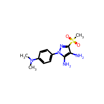 CN(C)c1ccc(-n2nc(S(C)(=O)=O)c(N)c2N)cc1